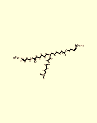 CCCCC/C=C\CCOC(=O)CCCCCN(CCCCCC(=O)OCC/C=C\CCCCC)CCOCCCCN(C)C